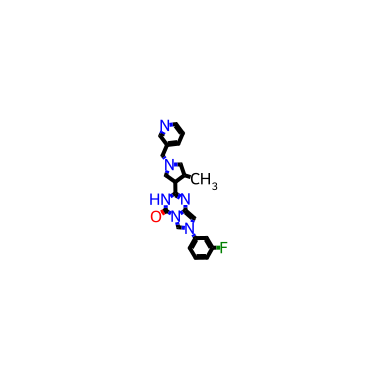 CC1CN(Cc2cccnc2)CC1C1=NC2=CN(c3cccc(F)c3)CN2C(=O)N1